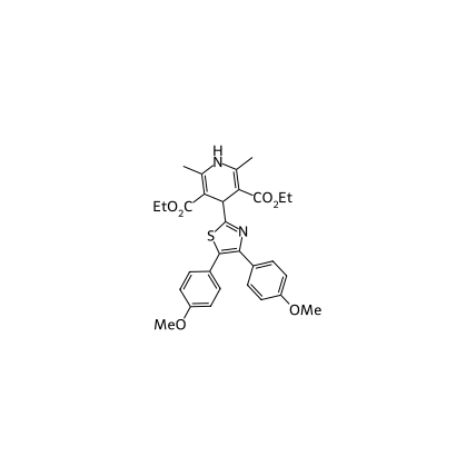 CCOC(=O)C1=C(C)NC(C)=C(C(=O)OCC)C1c1nc(-c2ccc(OC)cc2)c(-c2ccc(OC)cc2)s1